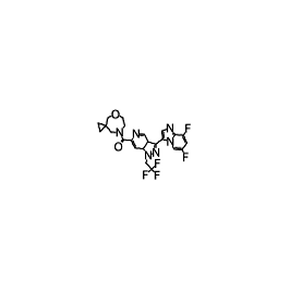 O=C(C1=CC2C(C=N1)C(c1cnc3c(F)cc(F)cn13)=NN2CC(F)(F)F)N1CCOCC2(CC2)C1